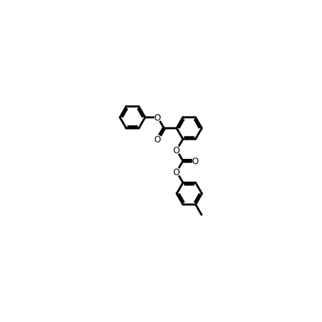 Cc1ccc(OC(=O)Oc2ccccc2C(=O)Oc2ccccc2)cc1